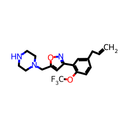 C=CCc1ccc(OC(F)(F)F)c(-c2cc(CN3CCNCC3)on2)c1